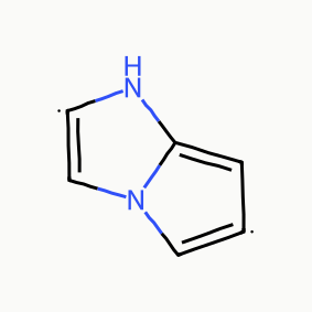 [c]1cc2[nH][c]cn2c1